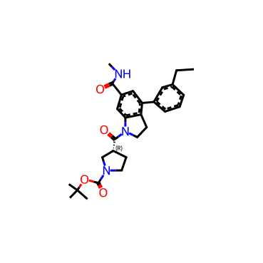 CCc1cccc(-c2cc(C(=O)NC)cc3c2CCN3C(=O)[C@@H]2CCN(C(=O)OC(C)(C)C)C2)c1